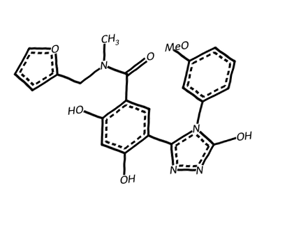 COc1cccc(-n2c(O)nnc2-c2cc(C(=O)N(C)Cc3ccco3)c(O)cc2O)c1